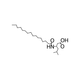 CCCCCCCCCCCCCCCC(=O)NC(CC(=O)O)CC(C)C